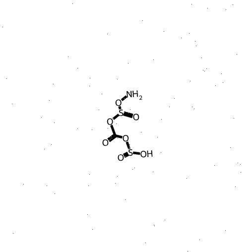 NOS(=O)OC(=O)OS(=O)O